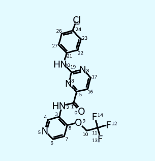 O=C(Nc1cnccc1OCC(F)(F)F)c1ccnc(Nc2ccc(Cl)cc2)n1